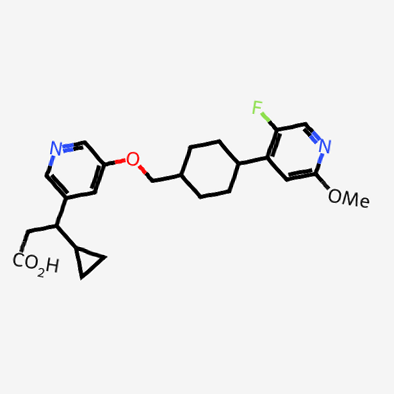 COc1cc(C2CCC(COc3cncc(C(CC(=O)O)C4CC4)c3)CC2)c(F)cn1